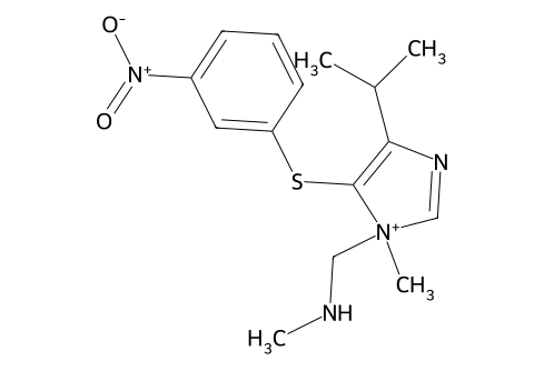 CNC[N+]1(C)C=NC(C(C)C)=C1Sc1cccc([N+](=O)[O-])c1